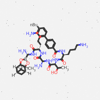 CCCCc1ccc(-c2ccc(C(=O)N[C@@H](CCCCN)C(=O)N[C@H](C(=O)N[C@@H](N)C(=O)N[C@@H](CCCCN)C(=O)N[C@@H](N)B3OC4C[C@@H]5C[C@@H](C5(C)C)[C@]4(C)O3)C(C)O)cc2)cc1